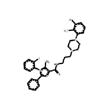 Cc1c(Cl)cccc1N1CCN(CCCNC(=O)c2nc(-c3ccccc3)n(-c3ccccc3Cl)c2C)CC1